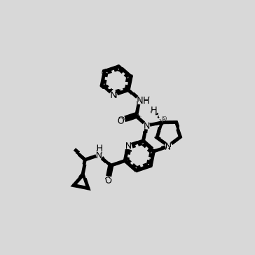 CC(NC(=O)c1ccc2c(n1)N(C(=O)Nc1ccccn1)[C@H]1CCN2C1)C1CC1